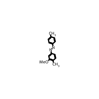 COc1cc(N=Nc2ccc(C)cc2)ccc1C